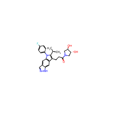 CC(C)c1c(CCC(=O)N2C[C@@H](O)[C@H](O)C2)c2cc3[nH]ncc3cc2n1-c1ccc(F)cc1